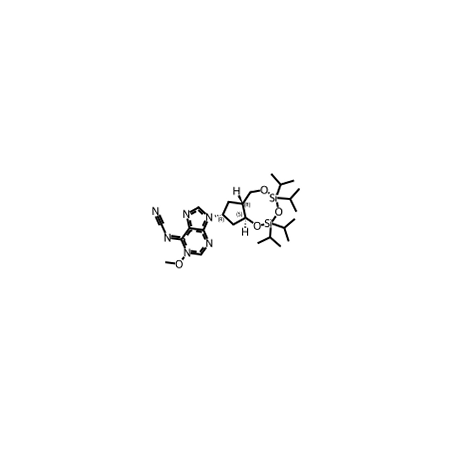 COn1cnc2c(ncn2[C@@H]2C[C@@H]3CO[Si](C(C)C)(C(C)C)O[Si](C(C)C)(C(C)C)O[C@H]3C2)c1=NC#N